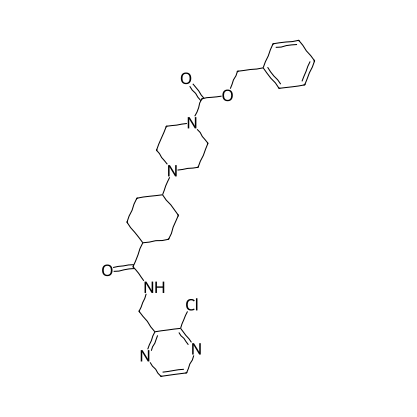 O=C(NCc1nccnc1Cl)C1CCC(N2CCN(C(=O)OCc3ccccc3)CC2)CC1